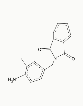 Cc1cc(CN2C(=O)c3ccccc3C2=O)ccc1N